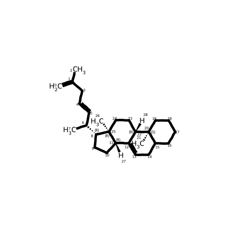 C=C(C)CC=CC(C)[C@H]1CC[C@H]2C3=CCC4CCCC[C@]4(C)[C@H]3CC[C@]12C